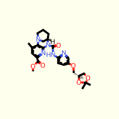 COC(=O)c1cc(C)c2c(n1)N(C(=O)Nc1ccc(OC[C@@H]3COC(C)(C)O3)cn1)[C@H]1CCCN2C1